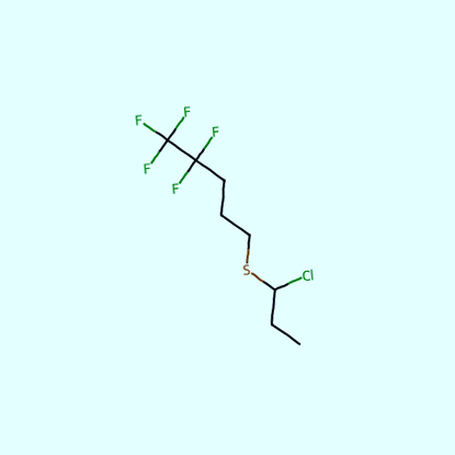 CCC(Cl)SCCCC(F)(F)C(F)(F)F